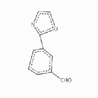 O=Cc1cccc(-c2ncco2)c1